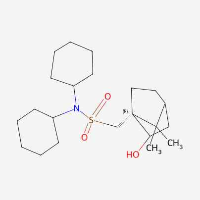 CC1(C)C2CC[C@]1(CS(=O)(=O)N(C1CCCCC1)C1CCCCC1)C(O)C2